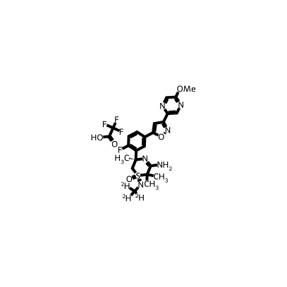 O=C(O)C(F)(F)F.[2H]C([2H])([2H])N=S1(=O)C[C@@](C)(c2cc(-c3cc(-c4cnc(OC)cn4)no3)ccc2F)N=C(N)C1(C)C